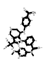 COc1ncc(N(C)C(=O)c2cccc(-n3nc(C(F)(F)F)c4c3C(Oc3ccc(C(=O)O)cc3)COC4)c2)cn1